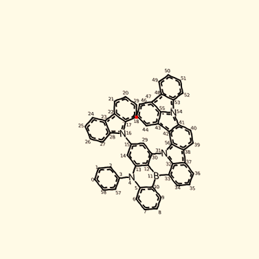 c1ccc(N2c3ccccc3B3c4c2cc(-n2c5ccccc5c5ccccc52)cc4-n2c4c3cccc4c3ccc4c(c5cccc6c7ccccc7n4c65)c32)cc1